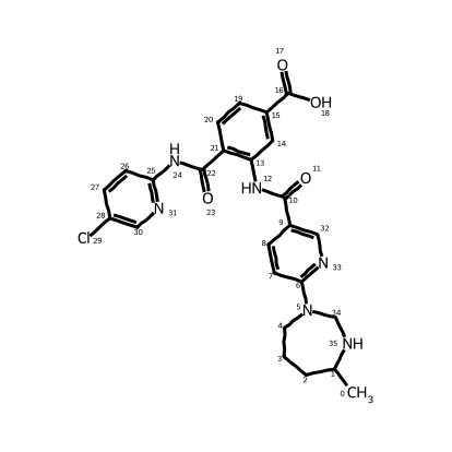 CC1CCCN(c2ccc(C(=O)Nc3cc(C(=O)O)ccc3C(=O)Nc3ccc(Cl)cn3)cn2)CN1